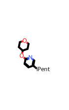 CCCC(C)c1ccc(OC2CCOCC2)nc1